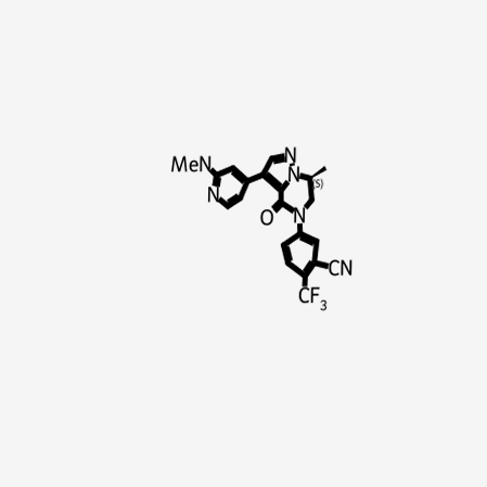 CNc1cc(-c2cnn3c2C(=O)N(c2ccc(C(F)(F)F)c(C#N)c2)C[C@@H]3C)ccn1